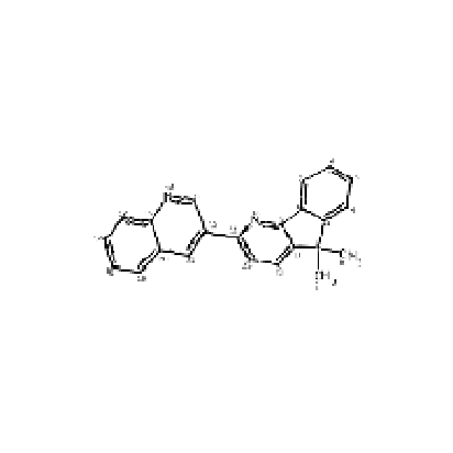 CC1(C)c2ccccc2-c2nc(-c3cnc4ccccc4c3)ccc21